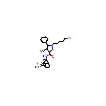 Cc1c(C(=O)NC2CC(C)C3CC2C3(C)C)nn(CCCCCCl)c1-c1ccccc1